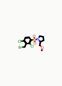 COCC1CCCN1S(=O)(=O)c1ccc(Cl)c(CBr)c1Cl